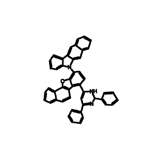 C1=C(c2ccc(-n3c4ccccc4c4cc5ccccc5cc43)c3oc4c5ccccc5ccc4c23)NC(c2ccccc2)N=C1c1ccccc1